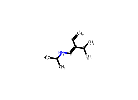 C=C/C(=C\NC(C)C)C(C)C